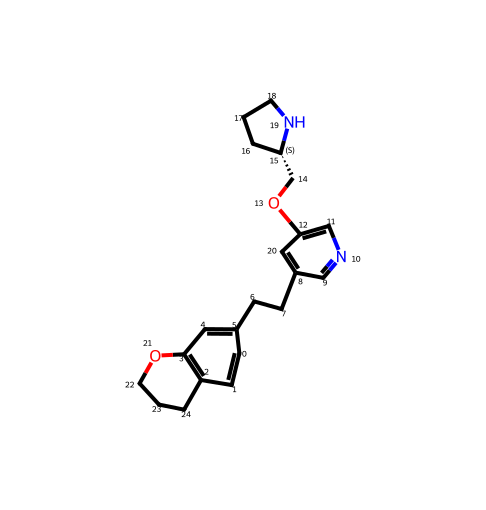 c1cc2c(cc1CCc1cncc(OC[C@@H]3CCCN3)c1)OCCC2